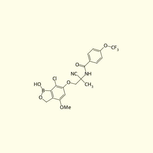 COc1cc(OCC(C)(C#N)NC(=O)c2ccc(OC(F)(F)F)cc2)c(Cl)c2c1COB2O